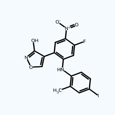 Cc1cc(I)ccc1Nc1cc(F)c([N+](=O)[O-])cc1-c1conc1O